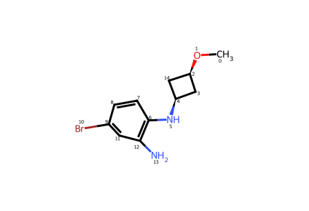 CO[C@H]1C[C@@H](Nc2ccc(Br)cc2N)C1